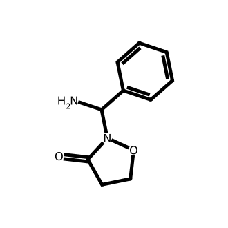 NC(c1ccccc1)N1OCCC1=O